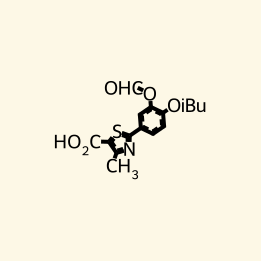 Cc1nc(-c2ccc(OCC(C)C)c(OC=O)c2)sc1C(=O)O